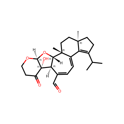 CC(C)C1=C2C3=CC=C(C=O)[C@@H]4[C@H](O[C@@H]5OCCC(=O)[C@@]54O)[C@]3(C)CC[C@@]2(C)CC1